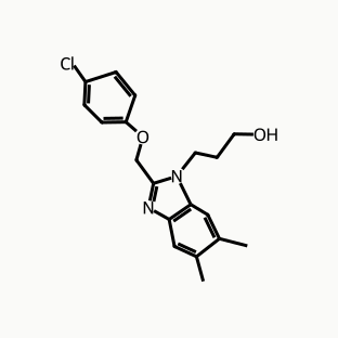 Cc1cc2nc(COc3ccc(Cl)cc3)n(CCCO)c2cc1C